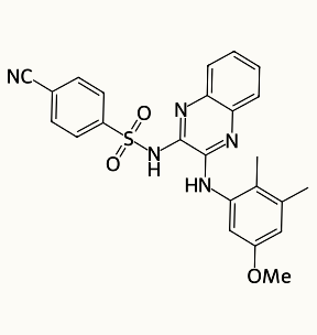 COc1cc(C)c(C)c(Nc2nc3ccccc3nc2NS(=O)(=O)c2ccc(C#N)cc2)c1